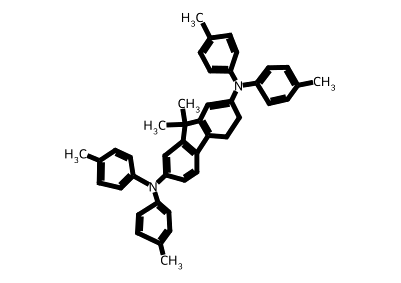 Cc1ccc(N(C2=CC3=C(CC2)c2ccc(N(c4ccc(C)cc4)c4ccc(C)cc4)cc2C3(C)C)c2ccc(C)cc2)cc1